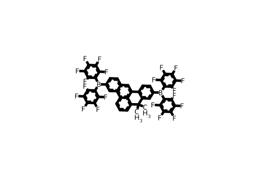 CC1(C)c2cc(B(c3c(F)c(F)c(F)c(F)c3F)c3c(F)c(F)c(F)c(F)c3F)ccc2-c2cc3ccc(B(c4c(F)c(F)c(F)c(F)c4F)c4c(F)c(F)c(F)c(F)c4F)cc3c3cccc1c23